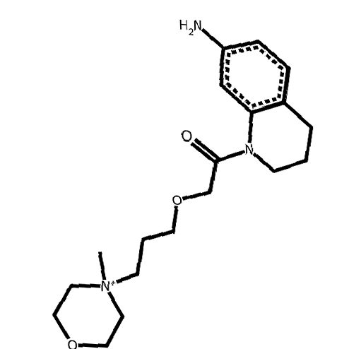 C[N+]1(CCCOCC(=O)N2CCCc3ccc(N)cc32)CCOCC1